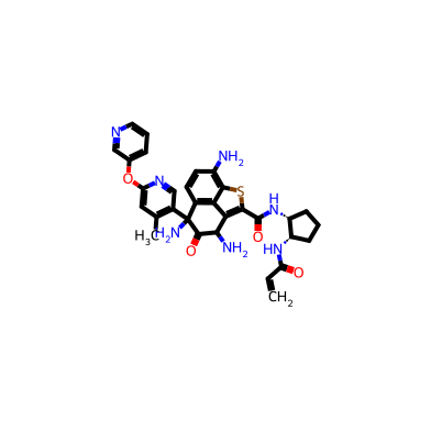 C=CC(=O)N[C@H]1CCC[C@H]1NC(=O)c1sc2c(N)ccc3c2c1C(N)C(=O)C3(N)c1cnc(Oc2cccnc2)cc1C